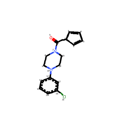 O=C(C1C=CC=C1)N1CCN(c2cccc(Cl)c2)CC1